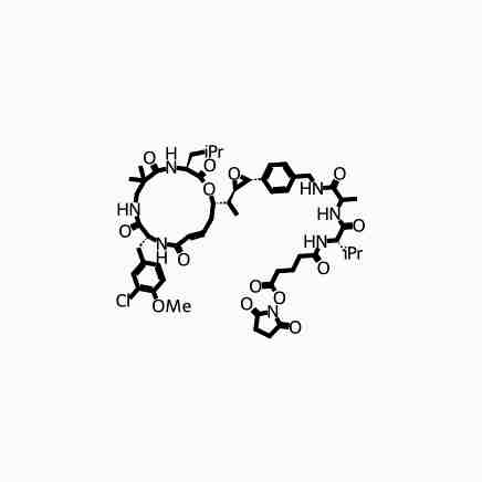 COc1ccc(C[C@H]2NC(=O)/C=C/C[C@@H](C(C)[C@H]3O[C@@H]3c3ccc(CNC(=O)C(C)NC(=O)[C@@H](NC(=O)CCCC(=O)ON4C(=O)CCC4=O)C(C)C)cc3)OC(=O)[C@H](CC(C)C)NC(=O)C(C)(C)CNC2=O)cc1Cl